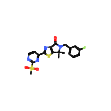 CC1(C)c2sc(-c3ccnc(S(C)(=O)=O)n3)nc2C(=O)N1Cc1cccc(F)c1